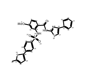 COc1ccc(C(=O)Nc2nc(-c3ccccc3)cs2)c(NS(=O)(=O)c2ccc(-c3ccc(C)s3)cc2)c1